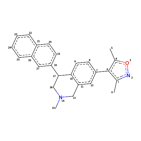 Cc1noc(C)c1-c1ccc2c(c1)CN(C)CC2c1ccc2ccccc2c1